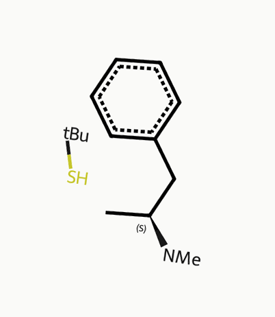 CC(C)(C)S.CN[C@@H](C)Cc1ccccc1